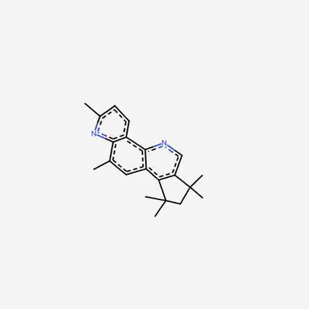 Cc1ccc2c(n1)c(C)cc1c3c(cnc12)C(C)(C)CC3(C)C